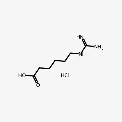 Cl.N=C(N)NCCCCCC(=O)O